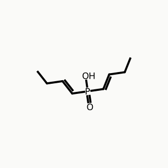 CCC=CP(=O)(O)C=CCC